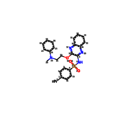 CCCc1ccc(S(=O)(=O)Nc2nc3ccccc3nc2OCCN(C)c2ccccc2)cc1